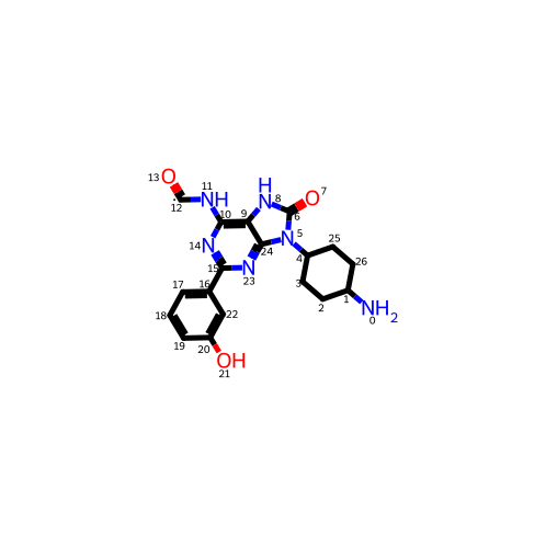 NC1CCC(n2c(=O)[nH]c3c(N[C]=O)nc(-c4cccc(O)c4)nc32)CC1